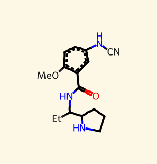 CCC(NC(=O)c1cc(NC#N)ccc1OC)C1CCCN1